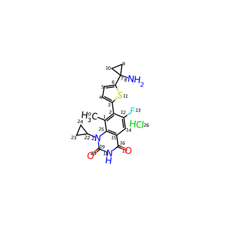 Cc1c(-c2ccc(C3(N)CC3)s2)c(F)cc2c(=O)[nH]c(=O)n(C3CC3)c12.Cl